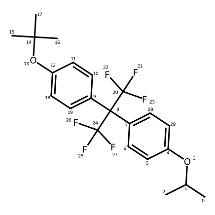 CC(C)Oc1ccc(C(c2ccc(OC(C)(C)C)cc2)(C(F)(F)F)C(F)(F)F)cc1